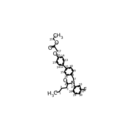 CCCCC(=O)N(Cc1ccc(-c2ccc(OCC(=O)OCC)cc2)cc1)c1cccc(F)c1